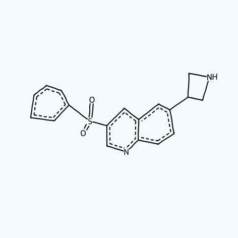 O=S(=O)(c1ccccc1)c1cnc2ccc(C3CNC3)cc2c1